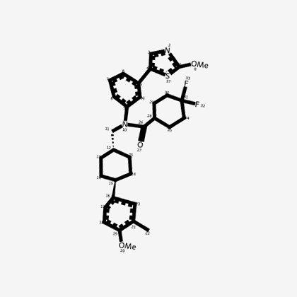 COc1ncc(-c2cccc(N(C[C@H]3CC[C@H](c4ccc(OC)c(C)c4)CC3)C(=O)C3CCC(F)(F)CC3)c2)s1